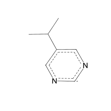 CC(C)c1cn[c]nc1